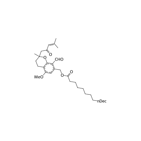 CCCCCCCCCCCCCCCCCC(=O)OCc1cc(OC)c2c(c1C=O)OC(C)(CC(=O)C=C(C)C)CC2